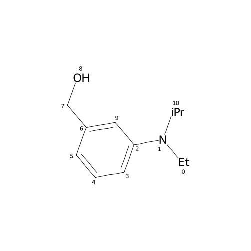 CCN(c1cccc(CO)c1)C(C)C